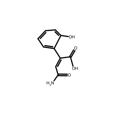 NC(=O)C=C(C(=O)O)c1ccccc1O